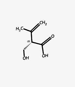 C=C(C)[C@@H](CO)C(=O)O